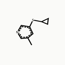 Cc1cncc(SC2CC2)c1